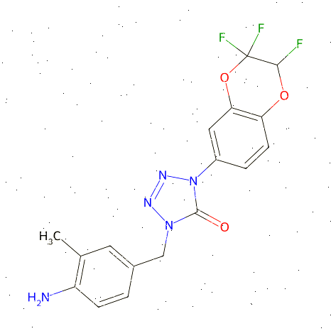 Cc1cc(Cn2nnn(-c3ccc4c(c3)OC(F)(F)C(F)O4)c2=O)ccc1N